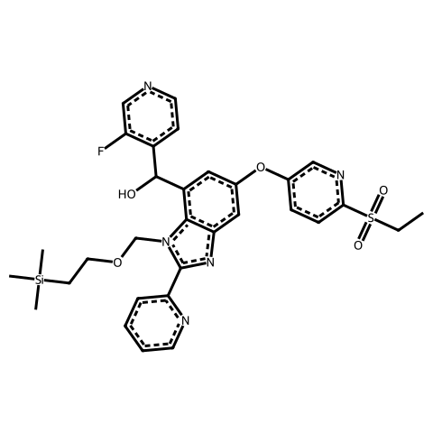 CCS(=O)(=O)c1ccc(Oc2cc(C(O)c3ccncc3F)c3c(c2)nc(-c2ccccn2)n3COCC[Si](C)(C)C)cn1